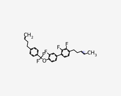 C=CCCc1ccc(C(F)(F)Oc2ccc(-c3ccc(CC/C=C/C)c(F)c3F)cc2F)cc1